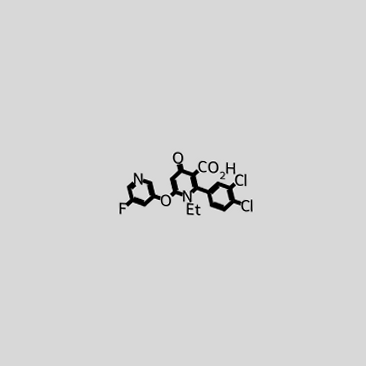 CCn1c(Oc2cncc(F)c2)cc(=O)c(C(=O)O)c1-c1ccc(Cl)c(Cl)c1